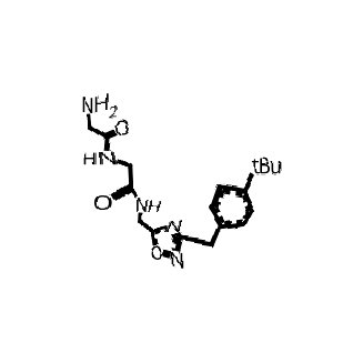 CC(C)(C)c1ccc(Cc2noc(CNC(=O)CNC(=O)CN)n2)cc1